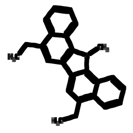 CCc1cc2c3cc(CC)c4ccccc4c3n(C)c2c2ccccc12